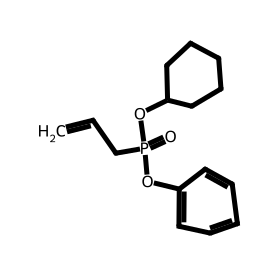 C=CCP(=O)(Oc1ccccc1)OC1CCCCC1